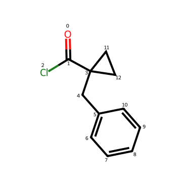 O=C(Cl)C1(Cc2ccccc2)CC1